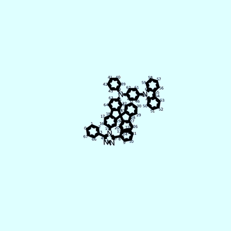 c1ccc(-c2nnc(-c3ccccc3)n2-c2ccc3c(c2)C2(c4ccccc4-c4ccccc42)c2cc(N(c4ccccc4)c4ccc(-n5c6ccccc6c6ccccc65)cc4)ccc2-3)cc1